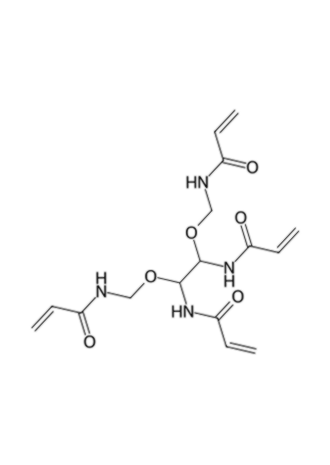 C=CC(=O)NCOC(NC(=O)C=C)C(NC(=O)C=C)OCNC(=O)C=C